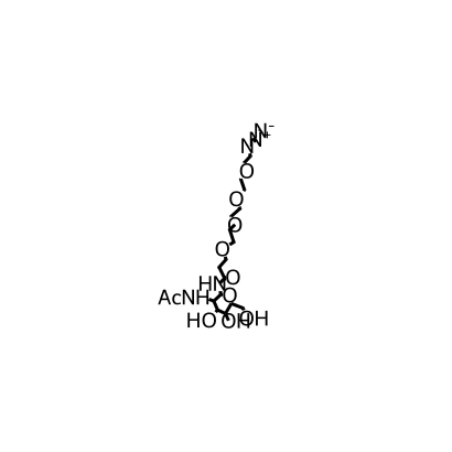 CC(=O)NC1C(NC(=O)CCOCCOCCOCCOCCN=[N+]=[N-])OC(CO)C(O)C1O